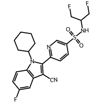 N#Cc1c(-c2ccc(S(=O)(=O)NC(CF)CF)cn2)n(C2CCCCC2)c2ccc(F)cc12